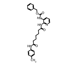 Cc1ccc(NC(=O)CCCCCC(=O)Nc2ncccc2NC(=O)OCc2ccccc2)cc1